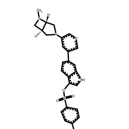 Cc1ccc(S(=O)(=O)Oc2c[nH]c3cc(-c4cncc(N5C[C@H]6CN(C)[C@@H]6C5)c4)ccc23)cc1